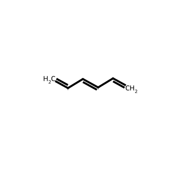 C=[C]/C=[C]/C=C